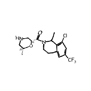 CC1c2c(Cl)cc(C(F)(F)F)cc2CCN1C(=O)[C@H]1CNC[C@@H](C)O1